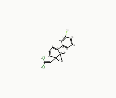 [CH2]C1(C=C(Cl)Cl)C=CC=C(c2cccc(F)c2)C1(C)C